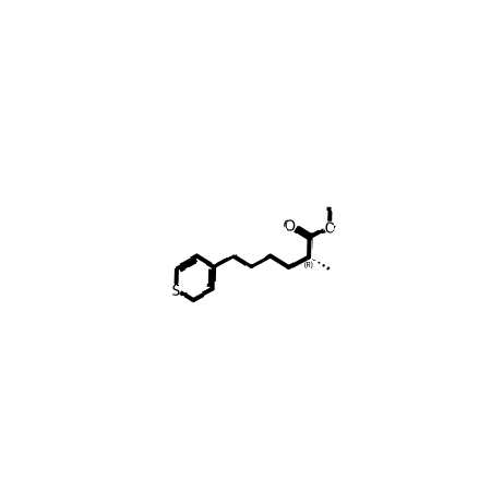 COC(=O)[C@H](C)CCCCC1=CCSC=C1